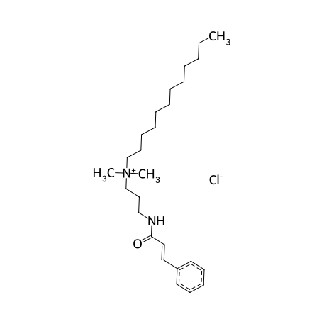 CCCCCCCCCCCC[N+](C)(C)CCCNC(=O)C=Cc1ccccc1.[Cl-]